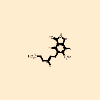 COc1c(C)c2c(c(F)c1C/C=C(\C)CCC(=O)O)C(=O)OC2